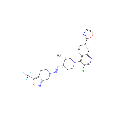 C[C@@H]1CN(c2c(Cl)cnc3cc(-c4ncco4)ccc23)CC[C@@H]1/C=N/N1CCc2c(noc2C(F)(F)F)C1